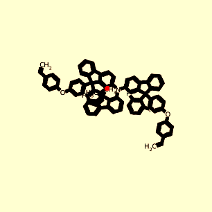 C=Cc1ccc(Oc2ccc(C3(c4c(F)cccc4F)c4ccccc4-c4ccc(N(c5ccc6c(c5)C(c5ccc(Oc7ccc(C=C)cc7)cc5)(c5c(F)cccc5F)c5ccccc5-6)c5cccc6c5C(C)(C)c5ccccc5-6)cc43)cc2)cc1